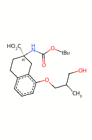 CC(CO)COc1cccc2c1C[C@@](NC(=O)OC(C)(C)C)(C(=O)O)CC2